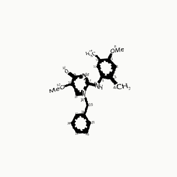 COc1cc(C)c(Nc2nc(=O)c(OC)cn2Cc2ccccc2)cc1C